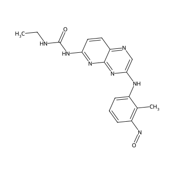 CCNC(=O)Nc1ccc2ncc(Nc3cccc(N=O)c3C)nc2n1